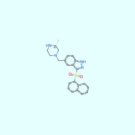 C[C@@H]1CN(Cc2ccc3[nH]nc(S(=O)(=O)c4cccc5ccccc45)c3c2)CCN1